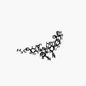 COc1ccc(CN(c2nc(Nc3cc(C#N)cc(N4CCN5CCN(C)C(=O)C5C4)c3Cl)nn3c(C#N)cnc23)C2CC2)cc1